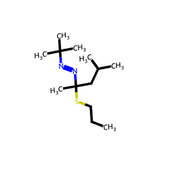 CCCSC(C)(CC(C)C)N=NC(C)(C)C